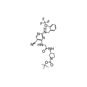 CC(C)(C)OC(=O)N1CC[C@H](NC(=O)CNc2nc(NCc3ccccc3OC(F)(F)F)ncc2C#N)C1